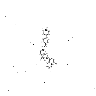 Cc1ccc(N2C[C@@H]3CN(CCc4ccc(N5CCN(C)CC5)nc4)CCN3[C@H](C)C2)c2cccnc12